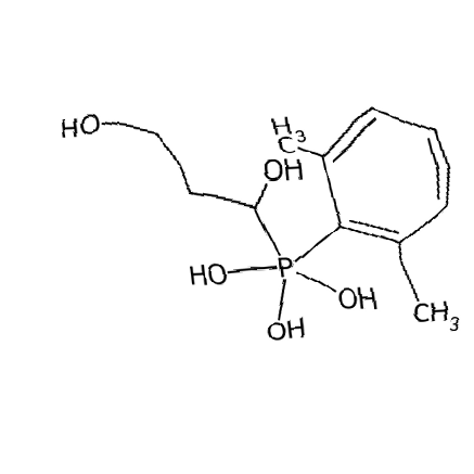 Cc1cccc(C)c1P(O)(O)(O)C(O)CCO